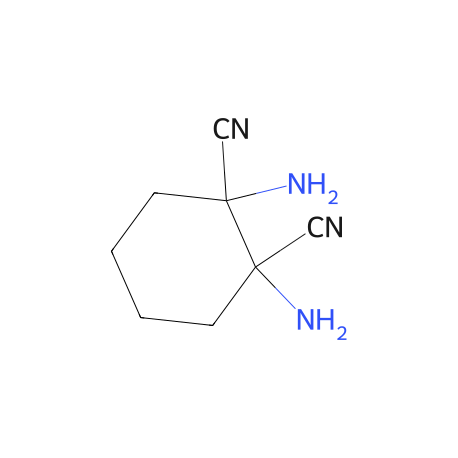 N#CC1(N)CCCCC1(N)C#N